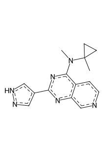 CN(c1nc(-c2cn[nH]c2)nc2cnccc12)C1(C)CC1